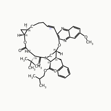 COc1ccc2nc3c(nc2c1)O[C@H]1CN(C(=O)[C@H](C(C)(C)C)NC(=O)O[C@@H]2C[C@H]2CCC/C=C/3)[C@H](C(=O)OCC(C)C)[C@@H]1Cc1ccccc1